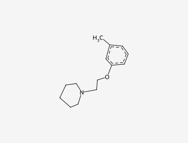 Cc1cccc(OCCN2CCCCC2)c1